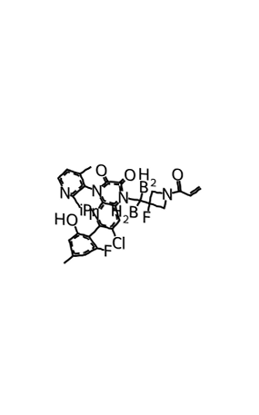 BC(B)(n1c(=O)c(=O)n(-c2c(C)ccnc2C(C)C)c2nc(-c3c(O)cc(C)cc3F)c(Cl)cc21)C1(F)CN(C(=O)C=C)C1